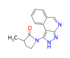 CC1CCN(c2[nH]nc3ncc4ccccc4c23)C1=O